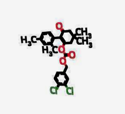 Cc1ccc(C2=C(OC(=O)OCc3ccc(Cl)c(Cl)c3)CC(C)(C)CC2=O)c(C)c1